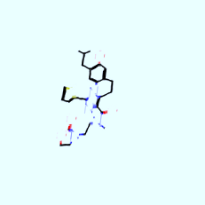 COc1cc2c(cc1CC(C)C)-n1c(-c3cccs3)nc(C(=O)N(C)CCN3CCOC3=O)c1CC2